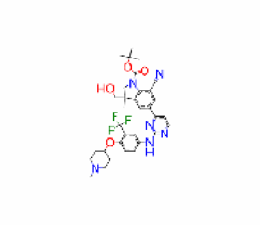 CN1CCC(Oc2ccc(Nc3nccc(-c4cc(C#N)c5c(c4)C(C)(CO)CN5C(=O)OC(C)(C)C)n3)cc2C(F)(F)F)CC1